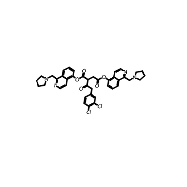 O=C(CC(C(=O)Cc1ccc(Cl)c(Cl)c1)C(=O)Oc1cccc2c(CN3CCCC3)nccc12)Oc1cccc2c(CN3CCCC3)nccc12